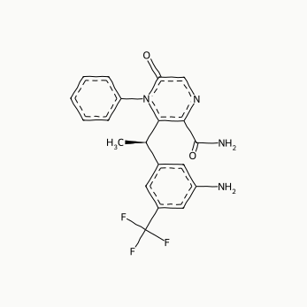 C[C@H](c1cc(N)cc(C(F)(F)F)c1)c1c(C(N)=O)ncc(=O)n1-c1ccccc1